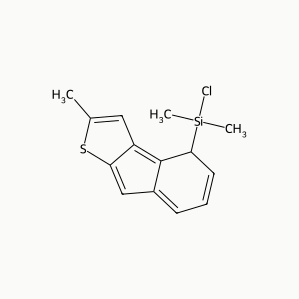 Cc1cc2c(s1)=CC1=CC=CC([Si](C)(C)Cl)C=21